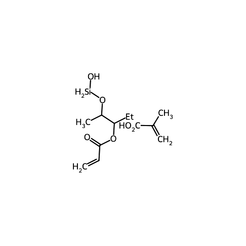 C=C(C)C(=O)O.C=CC(=O)OC(CC)C(C)O[SiH2]O